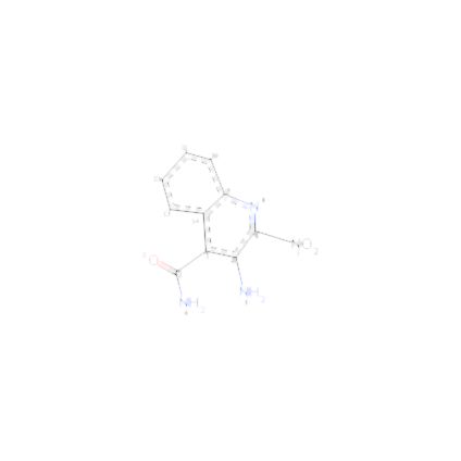 NC(=O)c1c(N)c([N+](=O)[O-])nc2ccccc12